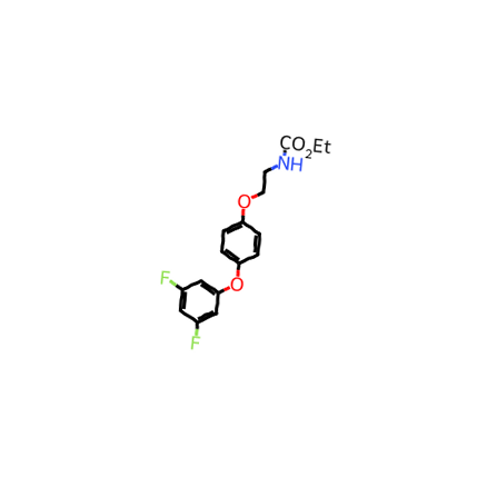 CCOC(=O)NCCOc1ccc(Oc2cc(F)cc(F)c2)cc1